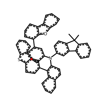 CC1(C)c2ccccc2-c2cc(N(c3cccc(-c4cccc5c4oc4ccccc45)c3)c3ccc4ccccc4c3-c3ccc4sc5ccccc5c4c3)ccc21